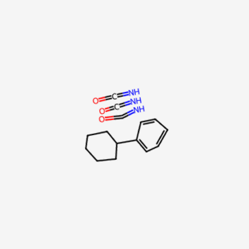 N=C=O.N=C=O.N=C=O.c1ccc(C2CCCCC2)cc1